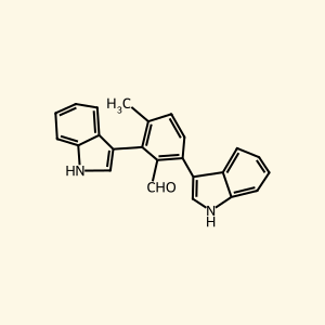 Cc1ccc(-c2c[nH]c3ccccc23)c(C=O)c1-c1c[nH]c2ccccc12